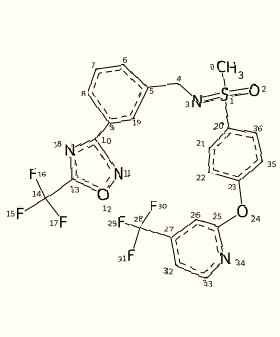 CS(=O)(=NCc1cccc(-c2noc(C(F)(F)F)n2)c1)c1ccc(Oc2cc(C(F)(F)F)ccn2)cc1